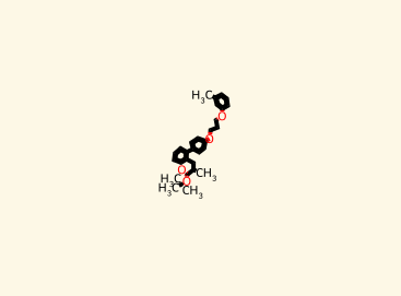 Cc1cccc(OCCCOc2ccc(-c3ccccc3CC(C)C(=O)OC(C)(C)C)cc2)c1